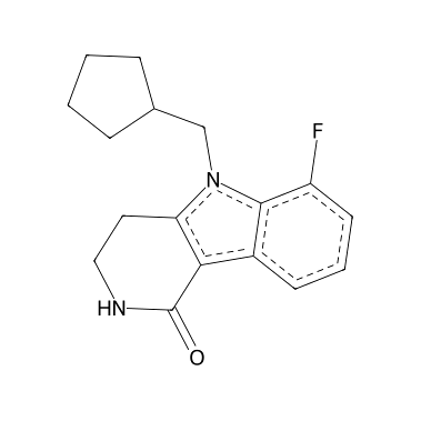 O=C1NCCc2c1c1cccc(F)c1n2CC1CCCC1